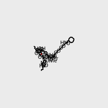 C/C=C/C1=CN2C(=O)c3cc(OC)c(OCCCOc4cc5c(cc4OC)C(=O)N4C=C(/C=C/C)C[C@H]4[C@H](O)N5C(=O)OCc4ccc(NC(=O)C(C)NC(=O)[C@@H](NC(=O)CCOCCOCCOCCOCCNC(=O)CC5=C/C=C\C=C/C=C\C=C/C=C\5)C(C)C)cc4)cc3N=C[C@@H]2C1